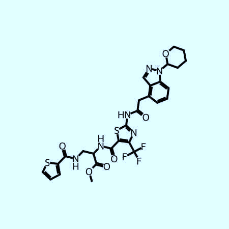 COC(=O)C(CNC(=O)c1cccs1)NC(=O)c1sc(NC(=O)Cc2cccc3c2cnn3C2CCCCO2)nc1C(F)(F)F